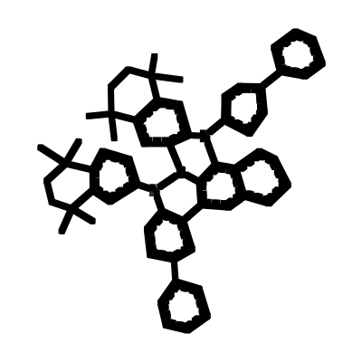 CC1(C)CCC(C)(C)c2cc(N3B4c5cc6c(cc5N(c5ccc(-c7ccccc7)cc5)c5c4c(cc4ccccc54)-c4cc(-c5ccccc5)ccc43)C(C)(C)CCC6(C)C)ccc21